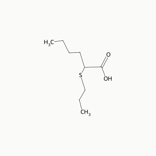 CCCCC(SCCC)C(=O)O